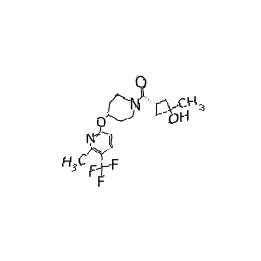 Cc1nc(OC2CCN(C(=O)[C@H]3C[C@@](C)(O)C3)CC2)ccc1C(F)(F)F